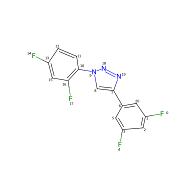 Fc1cc(F)cc(-c2cn(-c3ccc(F)cc3F)nn2)c1